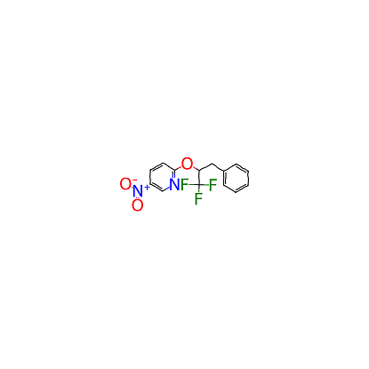 O=[N+]([O-])c1ccc(OC(Cc2ccccc2)C(F)(F)F)nc1